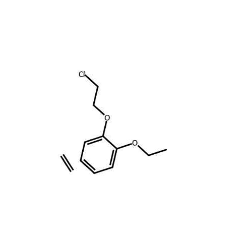 C=C.CCOc1ccccc1OCCCl